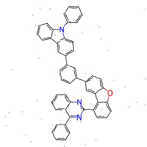 c1ccc(-c2nc(-c3cccc4oc5ccc(-c6cccc(-c7ccc8c(c7)c7ccccc7n8-c7ccccc7)c6)cc5c34)nc3ccccc23)cc1